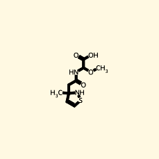 COC(NC(=O)CC1(C)C=CSN1)C(=O)O